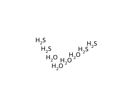 O.O.O.O.S.S.S.S